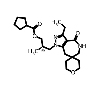 CCc1nn(C[C@@H](C)COC(=O)C2CCCC2)c2c1C(=O)NCC1(CCOCC1)C2